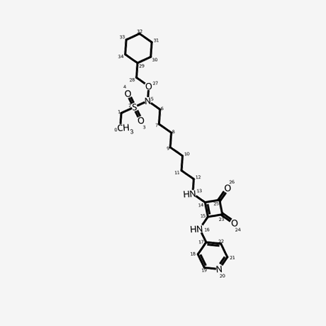 CCS(=O)(=O)N(CCCCCCCNc1c(Nc2ccncc2)c(=O)c1=O)OCC1CCCCC1